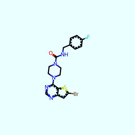 O=C(NCc1ccc(F)cc1)N1CCN(c2ncnc3cc(Br)sc23)CC1